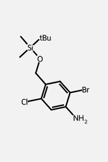 CC(C)(C)[Si](C)(C)OCc1cc(Br)c(N)cc1Cl